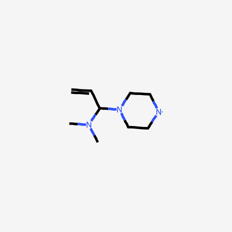 C=CC(N(C)C)N1CC[N]CC1